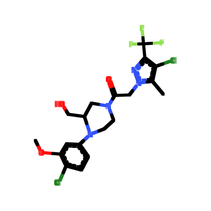 COc1cc(N2CCN(C(=O)Cn3nc(C(F)(F)F)c(Cl)c3C)CC2CO)ccc1Cl